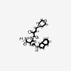 NC(=O)c1nc(Nc2ccc3ccccc3c2)sc1NC(=O)C(Cl)=CCN1CCOCC1